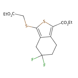 CCOC(=O)CSc1sc(C(=O)OCC)c2c1CC(F)(F)CC2